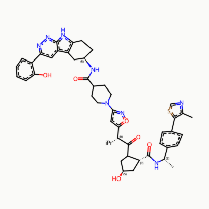 Cc1ncsc1-c1ccc([C@H](C)NC(=O)[C@@H]2C[C@@H](O)CC2C(=O)[C@@H](c2cc(N3CCC(C(=O)N[C@@H]4CCc5[nH]c6nnc(-c7ccccc7O)cc6c5C4)CC3)no2)C(C)C)cc1